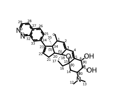 CC1C=C2C=C3[C@@H](O)[C@H](O)[C@@H](N(C)C)C[C@]34CC[C@]2(O4)C2CC=C(c3ccc4ccnnc4c3)[C@@]12C